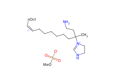 CCCCCCCC/C=C\CCCCCCC(C)(CCN)[N+]1=CNCC1.COS(=O)(=O)[O-]